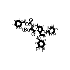 CC(C)(C)C(NC(=O)OCc1ccccc1)C(=O)N1CCC2C1C(Oc1ccc(F)c(F)c1)=CN2c1ncccn1